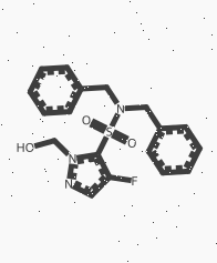 O=S(=O)(c1c(F)cnn1CO)N(Cc1ccccc1)Cc1ccccc1